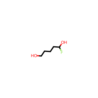 OCCCCC(O)F